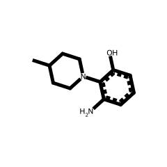 CC1CCN(c2c(N)cccc2O)CC1